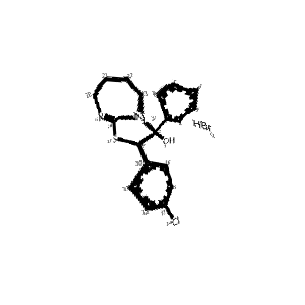 Br.OC1(c2ccccc2)C(c2ccc(Cl)cc2)SC2=NCCCCN21